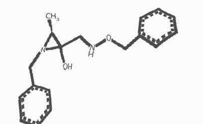 C[C@@H]1N(Cc2ccccc2)C1(O)CNOCc1ccccc1